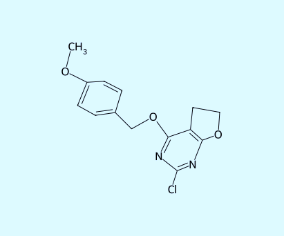 COc1ccc(COc2nc(Cl)nc3c2CCO3)cc1